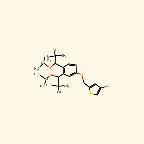 C[SiH](C)OC(c1ccc(OCc2cc(Br)cs2)cc1C(O[SiH](C)C)C(C)(C)C)C(C)(C)C